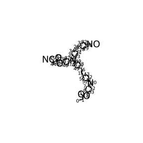 C=CC(=O)Oc1ccc(N(C)c2ccc(C=Cc3ccc(N(c4ccc(Cc5ccc(N=O)cc5)cc4)c4ccc(OC(=O)C(=C)C#N)cc4)cc3)cc2)cc1